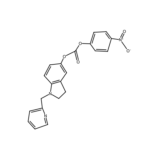 O=C(Oc1ccc([N+](=O)[O-])cc1)Oc1ccc2c(c1)CCN2Cc1ccccn1